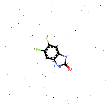 O=C1[N]c2cc(F)c(F)cc2N1